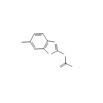 CCCCCC(=O)Nc1nc2ccc(C)cc2s1